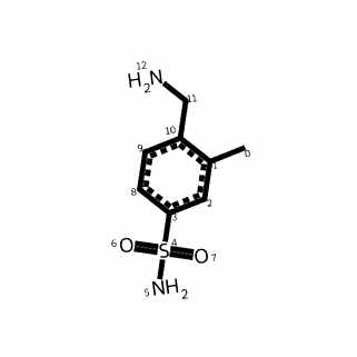 Cc1cc(S(N)(=O)=O)ccc1CN